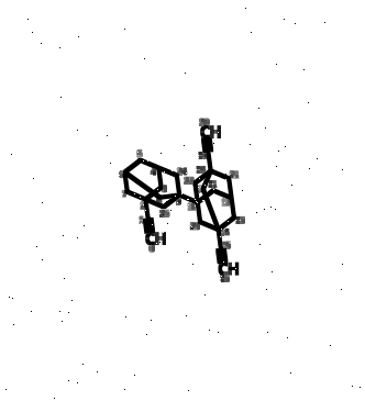 C#CC12CC3CC(C1)CC(C14CC5CC(C#C)(CC(C#C)(C5)C1)C4)(C3)C2